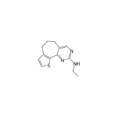 CCNc1ncc2c(n1)-c1sccc1CCC2